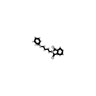 O=C1c2ccccc2C(=O)N1CCCCSc1ccccc1